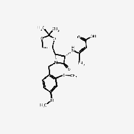 COc1ccc(CN2C(=O)[C@@H](N/C(C)=C\C(=O)O)[C@H]2[C@@H]2COC(C)(C)O2)c(OC)c1